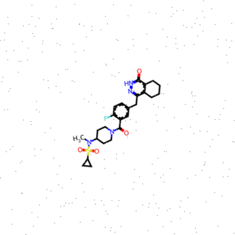 CN(C1CCN(C(=O)c2cc(Cc3n[nH]c(=O)c4c3CCCC4)ccc2F)CC1)S(=O)(=O)C1CC1